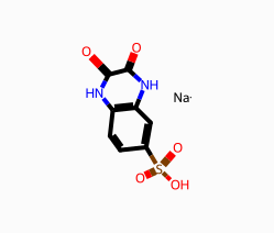 O=c1[nH]c2ccc(S(=O)(=O)O)cc2[nH]c1=O.[Na]